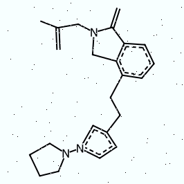 C=C(C)CN1Cc2c(CCc3ccn(N4CCCC4)c3)cccc2C1=C